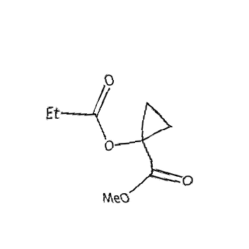 CCC(=O)OC1(C(=O)OC)CC1